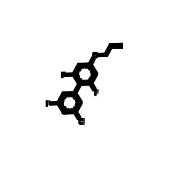 C=CCOc1cc(F)c(-c2cc(F)[c]c(Cl)c2)c(F)c1